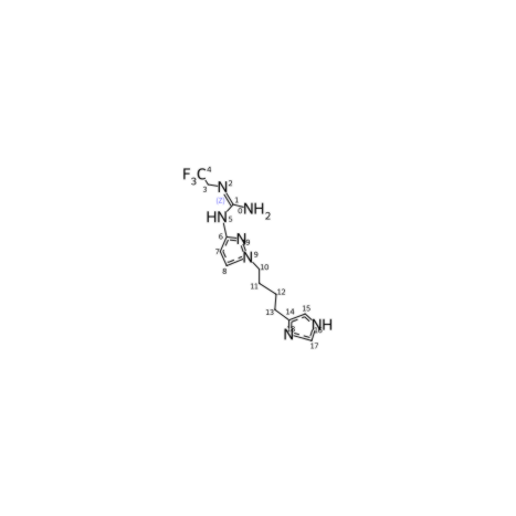 N/C(=N/CC(F)(F)F)Nc1ccn(CCCCc2c[nH]cn2)n1